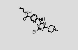 C=CCNC(=O)c1ccc(Nc2nc(CC)nc(N3CCN(C)CC3)n2)nc1